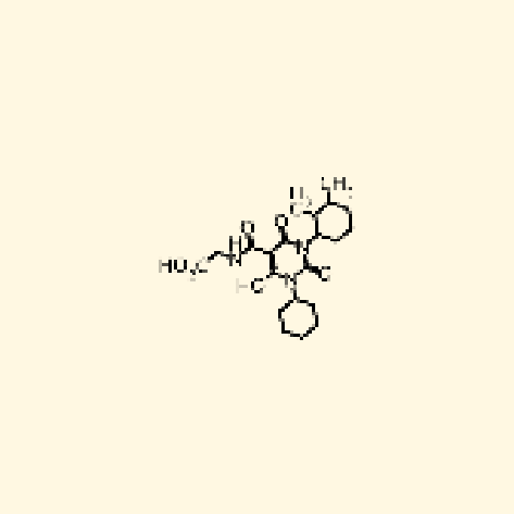 CC1CCCC(n2c(=O)c(C(=O)NCC(=O)O)c(O)n(C3CCCCC3)c2=O)C1C